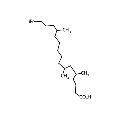 CC(C)CCCC(C)CCCCCC(C)CC(C)CCCC(=O)O